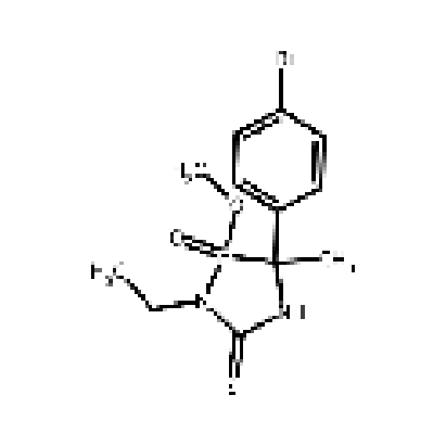 CCN1C(=S)NC(C)(c2ccc(Br)cc2)P1(=O)OC